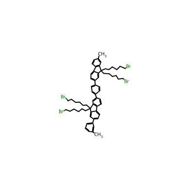 Cc1cccc(-c2ccc3c(c2)C(CCCCCCBr)(CCCCCCBr)c2cc(-c4ccc(-c5ccc6c(c5)C(CCCCCCBr)(CCCCCCBr)c5cc(C)ccc5-6)cc4)ccc2-3)c1